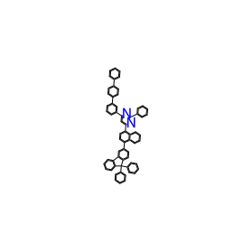 c1ccc(-c2ccc(-c3cccc(-c4cc(-c5ccc(-c6ccc7c(c6)-c6ccccc6C7(c6ccccc6)c6ccccc6)c6ccccc56)nc(-c5ccccc5)n4)c3)cc2)cc1